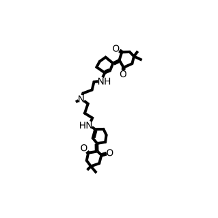 CN(CCCNC1=CC(=C2C(=O)CC(C)(C)CC2=O)CCC1)CCCNC1=CC(=C2C(=O)CC(C)(C)CC2=O)CCC1